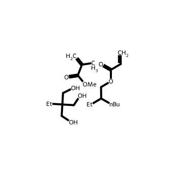 C=C(C)C(=O)OC.C=CC(=O)OCC(CC)CCCC.CCC(CO)(CO)CO